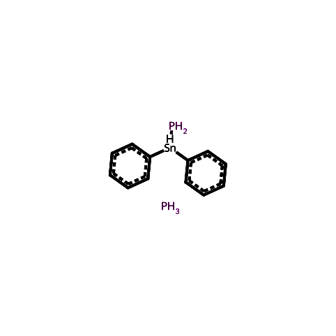 P.[PH2][SnH]([c]1ccccc1)[c]1ccccc1